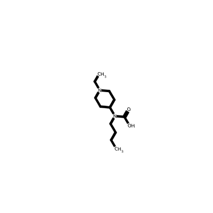 CCCCN(C(=O)O)C1CCN(CC)CC1